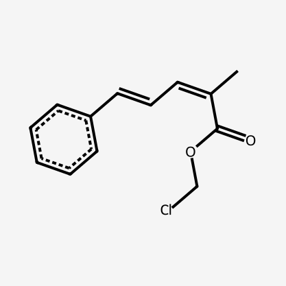 CC(=CC=Cc1ccccc1)C(=O)OCCl